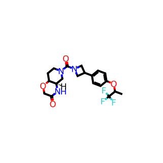 CC(Oc1ccc(C2CN(C(=O)N3CCC4OCC(=O)N[C@@H]4C3)C2)cc1)C(F)(F)F